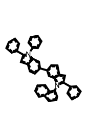 c1ccc(-c2cc3ccc(-c4ccc5cc(-c6ccccc6)n(-c6cccc7ccccc67)c5c4)cc3n2-c2ccccc2)cc1